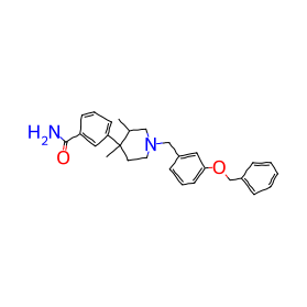 CC1CN(Cc2cccc(OCc3ccccc3)c2)CCC1(C)c1cccc(C(N)=O)c1